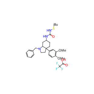 CCC(C)SNC(=O)NC1CCC2(c3ccc(OC)c(OC)c3)CCN(Cc3ccccc3)C2C1.O=C(O)C(F)(F)F